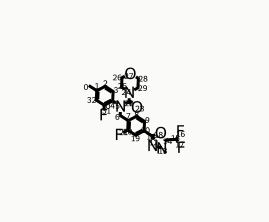 Cc1ccc(N(Cc2ccc(-c3nnc(C(F)F)o3)cc2F)C(=O)N2CCOCC2)c(F)c1